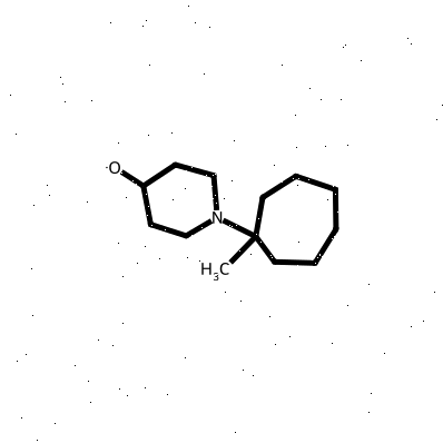 CC1(N2CCC([O])CC2)CCCCCC1